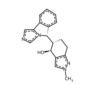 Cn1cc2c(n1)CC[C@@H]([C@H]1c3ccccc3-c3cncn31)[C@@H]2O